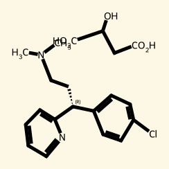 CN(C)CC[C@H](c1ccc(Cl)cc1)c1ccccn1.O=C(O)CC(O)C(=O)O